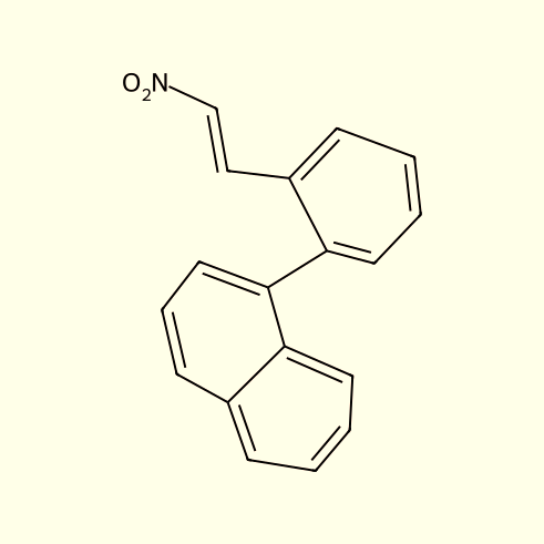 O=[N+]([O-])/C=C/c1ccccc1-c1cccc2ccccc12